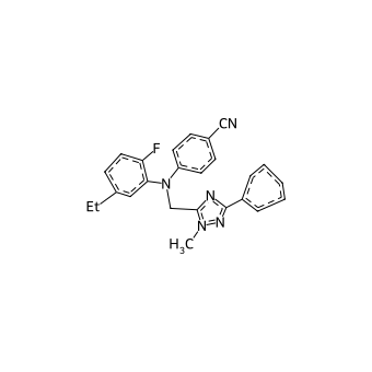 CCc1ccc(F)c(N(Cc2nc(-c3ccccc3)nn2C)c2ccc(C#N)cc2)c1